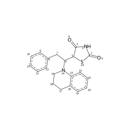 O=C1NC(=O)C(C(Cc2ccccc2)N2CCCc3ccccc32)S1